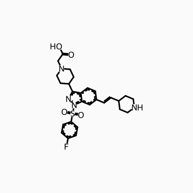 O=C(O)CN1CCC(c2nn(S(=O)(=O)c3ccc(F)cc3)c3cc(/C=C/C4CCNCC4)ccc23)CC1